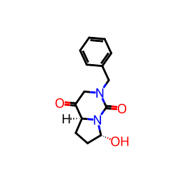 O=C1CN(Cc2ccccc2)C(=O)N2[C@H](O)CC[C@@H]12